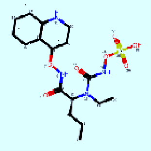 CCC[C@@H](C(=O)NOC1CCNC2CCCCC21)N(CC)C(=O)NOS(=O)(=O)O